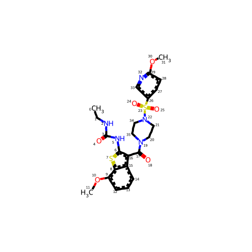 CCNC(=O)Nc1sc2c(OC)cccc2c1C(=O)N1CCN(S(=O)(=O)c2ccc(OC)nc2)CC1